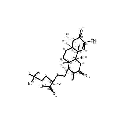 CCC(C)(C)CC[C@@](C)(CC[C@]1(C)C(C)C(=O)C[C@@H]2[C@@]3(C)C=C(C#N)C(=O)[C@@H](C)[C@@H]3CC[C@]21C)C(=O)Cl